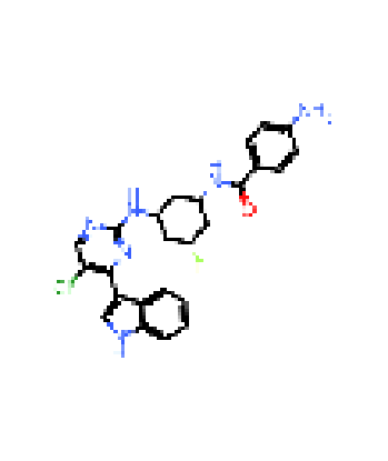 Nc1ccc(C(=O)N[C@H]2CC(Nc3ncc(Cl)c(-c4c[nH]c5ccccc45)n3)C[C@@H](F)C2)cc1